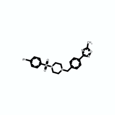 Cc1nc(-c2ccc(CN3CCN(S(=O)(=O)c4ccc(C(C)C)cc4)CC3)cc2)no1